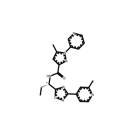 CC[C@H](NC(=O)c1cc(C)n(-c2cccnc2)n1)c1nc(-c2ccnc(C)c2)no1